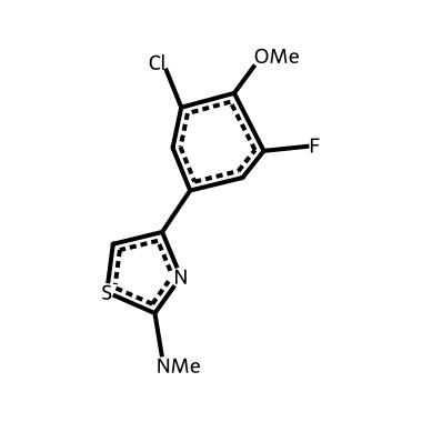 CNc1nc(-c2cc(F)c(OC)c(Cl)c2)cs1